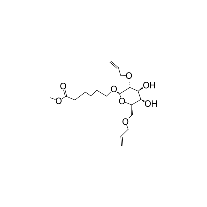 C=CCOC[C@H]1O[C@@H](OCCCCCC(=O)OC)[C@H](OCC=C)[C@@H](O)[C@H]1O